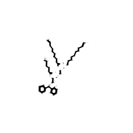 CCCCCCCCC=CCCCCCCCC(=O)OC[C@H](CSC[C@H](NC(=O)CCCCCCCCCCCCCCC)C(=O)OC(c1ccccc1)c1ccccc1)OC(=O)CCCCCCCC=CCCCCCCCC